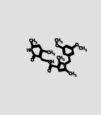 COc1cc(Cn2c(C)cc(C(=O)NCc3c(C)cc(C)[nH]c3=O)c2C)cc(OC)c1